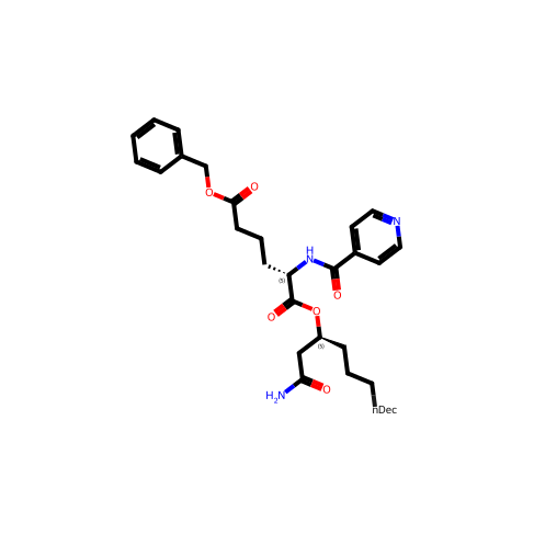 CCCCCCCCCCCCC[C@@H](CC(N)=O)OC(=O)[C@H](CCCC(=O)OCc1ccccc1)NC(=O)c1ccncc1